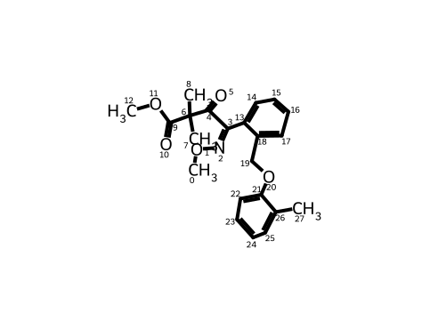 CON=C(C(=O)C(C)(C)C(=O)OC)c1ccccc1COc1ccccc1C